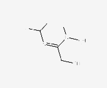 CC/C(=N/C(C)C)N(C)C